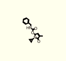 CC1=CC(OC(=O)NCc2ccccc2)N(C2CC2)C1=O